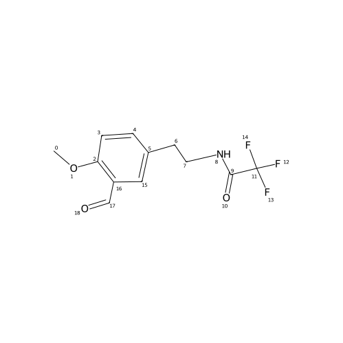 COc1ccc(CCNC(=O)C(F)(F)F)cc1C=O